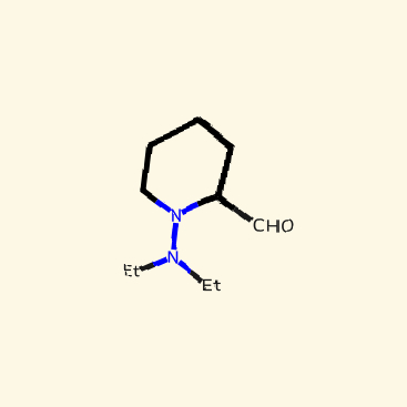 CCN(CC)N1CCCCC1C=O